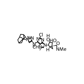 CNC(=O)[C@@]12C[C@@H]1[C@@H](n1cnc3c(N(C)c4cn(C56CC7CC(CC(C7)C5)C6)nn4)nc(Cl)nc31)[C@H](O)[C@@H]2O